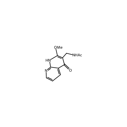 COc1[nH]c2ncccc2c(=O)c1CNC(C)=O